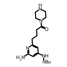 CCCCNc1cc(N)nc(CCCC(=O)N2CCNCC2)c1